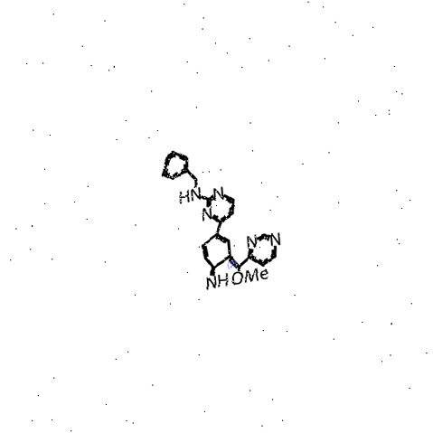 CO/C(=C1/C=C(c2ccnc(NCc3ccccc3)n2)C=CC1=N)c1ccncn1